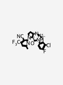 Cc1cc(C(F)(F)F)c(C#N)c(N2CC[C@@H](N=[N+]=[N-])[C@H]2C(=O)Nc2ccc(F)c(Cl)c2)n1